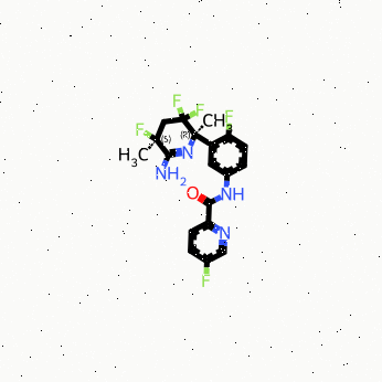 C[C@]1(F)CC(F)(F)[C@@](C)(c2cc(NC(=O)c3ccc(F)cn3)ccc2F)N=C1N